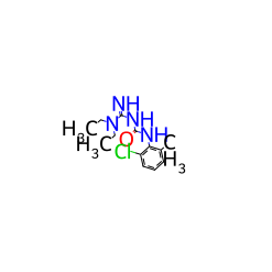 CCN(CC)C(=N)NC(=O)Nc1c(C)cccc1Cl